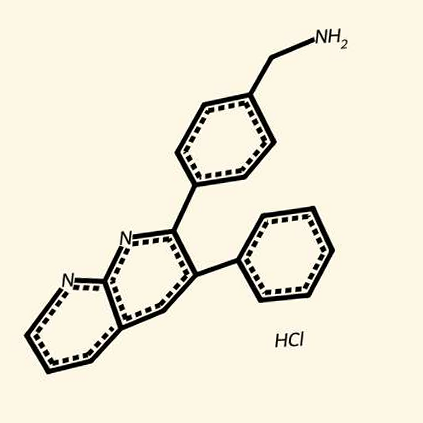 Cl.NCc1ccc(-c2nc3ncccc3cc2-c2ccccc2)cc1